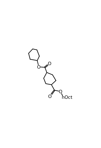 CCCCCCCCOC(=O)C1CCC(C(=O)OC2CCCCC2)CC1